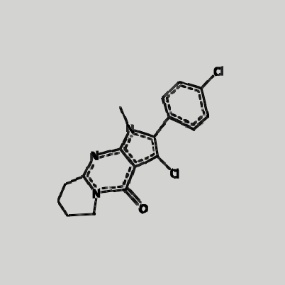 Cn1c(-c2ccc(Cl)cc2)c(Cl)c2c(=O)n3c(nc21)CCCC3